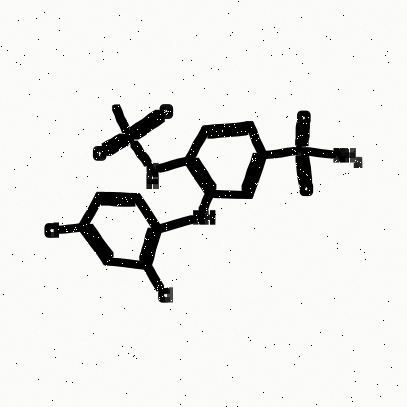 CS(=O)(=O)Nc1ccc(S(N)(=O)=O)cc1Nc1ccc(Cl)cc1Cl